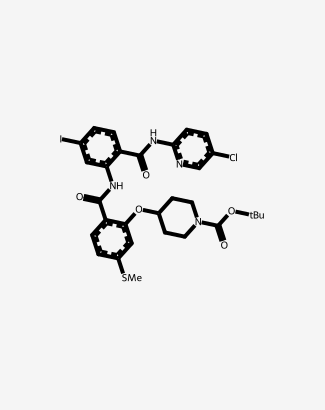 CSc1ccc(C(=O)Nc2cc(I)ccc2C(=O)Nc2ccc(Cl)cn2)c(OC2CCN(C(=O)OC(C)(C)C)CC2)c1